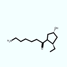 CC[C@@H]1C[C@@H](O)CC1C(=O)CCCCCN